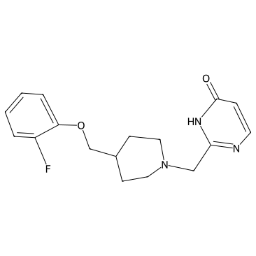 O=c1ccnc(CN2CCC(COc3ccccc3F)CC2)[nH]1